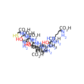 CC(C)[C@H](N)C(=O)O.CC[C@H](C)[C@H](N)C(=O)O.CC[C@H](C)[C@H](N)C(=O)O.C[C@@H](O)[C@H](N)C(=O)O.C[C@@H](O)[C@H](N)C(=O)O.NC(=O)C[C@H](N)C(=O)O.NCCCC[C@H](N)C(=O)O.N[C@@H](CO)C(=O)O.N[C@@H](CS)C(=O)O